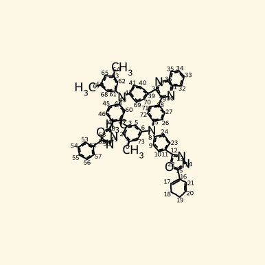 Cc1cc(C)cc(N(c2ccc(-c3nnc(C4=CCCC=C4)o3)cc2)c2ccc(-c3nc4ccccc4nc3-c3ccc(N(c4ccc(-c5nnc(-c6ccccc6)o5)cc4)c4cc(C)cc(C)c4)cc3)cc2)c1